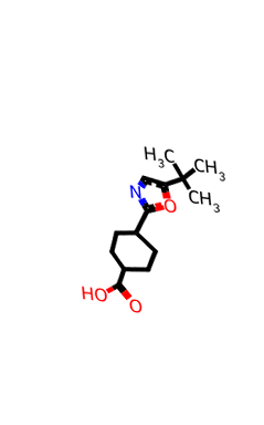 CC(C)(C)c1cnc(C2CCC(C(=O)O)CC2)o1